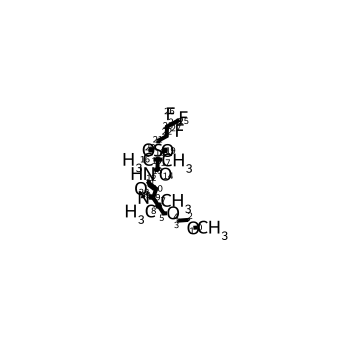 COCCOCC(C)(C)c1cc(NC(=O)C(C)(C)S(=O)(=O)CCCC(F)(F)F)on1